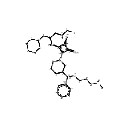 CCNCC(CC1CCCCC1)Nc1c(N2CCCC([C@@H](OCCCOC)c3ccccc3)C2)c(=O)c1=O